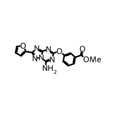 COC(=O)c1cccc(Oc2nc(N)n3nc(-c4ccco4)nc3n2)c1